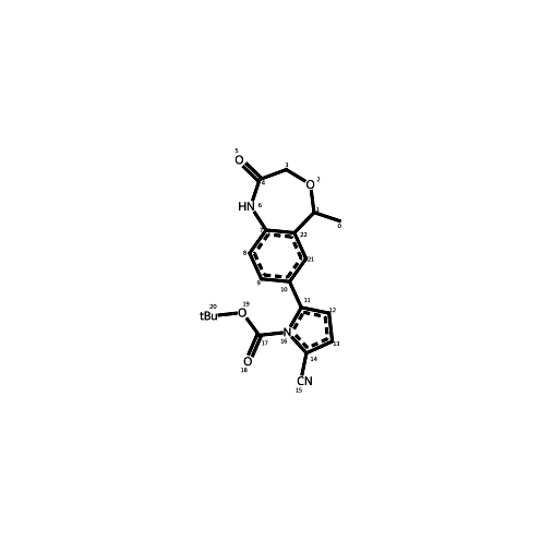 CC1OCC(=O)Nc2ccc(-c3ccc(C#N)n3C(=O)OC(C)(C)C)cc21